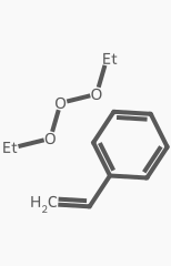 C=Cc1ccccc1.CCOOOCC